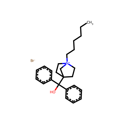 CCCCCC[N+]12CCC(C(O)(c3ccccc3)c3ccccc3)(CC1)C2.[Br-]